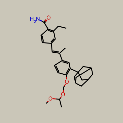 CCc1cc(C=C(C)c2ccc(OCOC(C)OC)c(C34CC5CC(CC(C5)C3)C4)c2)ccc1C(N)=O